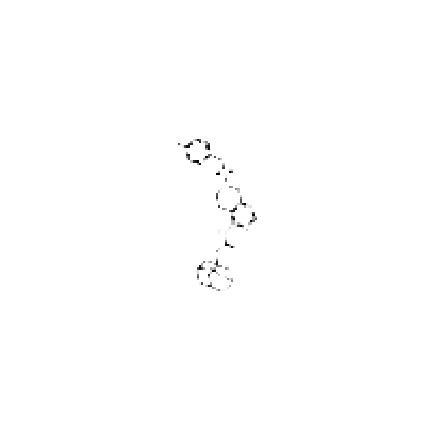 Cc1ccc(CS(=O)(=O)N2CCc3c(ncnc3NC(=O)CC34CC5CC(CC(C5)C3)C4)C2)cc1